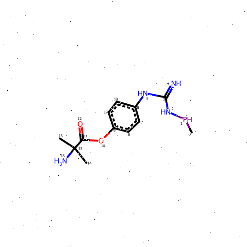 CPNC(=N)Nc1ccc(OC(=O)C(C)(C)N)cc1